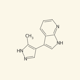 Cc1[nH]ncc1-c1c[nH]c2ncccc12